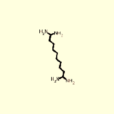 NC(N)CCCCCCCCC(N)N